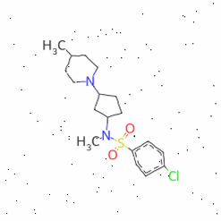 CC1CCN(C2CCC(N(C)S(=O)(=O)c3ccc(Cl)cc3)C2)CC1